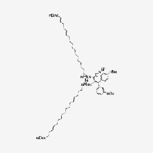 CCCCCCC(=C=[N+]=[N-])C(CCCCC)=C(c1ccc(CCCC)cc1)c1cccc(CCCC)c1.CCCCCCCCCCCCCCCCCCCCCCCCCCCC[CH2][Ni][CH2]CCCCCCCCCCCCCCCCCCCCCCCCCCCC